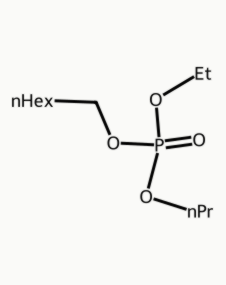 CCCCCCCOP(=O)(OCC)OCCC